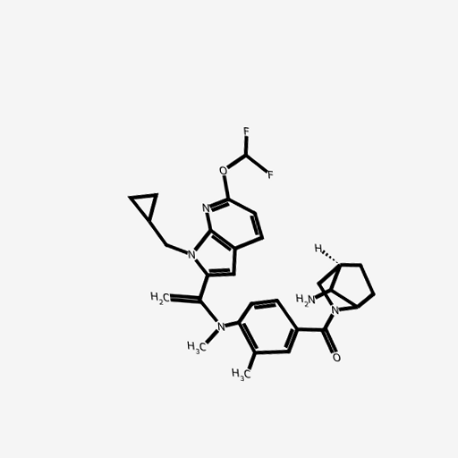 C=C(c1cc2ccc(OC(F)F)nc2n1CC1CC1)N(C)c1ccc(C(=O)N2C[C@H]3CCC2C3N)cc1C